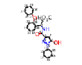 O=C(O)CC(NC(=O)c1cc(O)n(-c2ccccc2)n1)c1ccccc1Oc1ccccc1